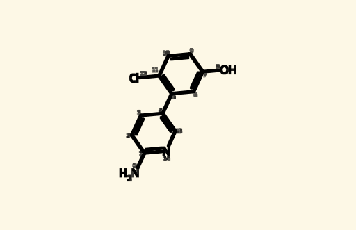 Nc1ccc(-c2cc(O)ccc2Cl)cn1